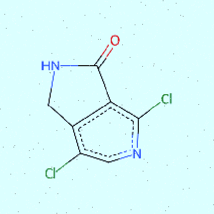 O=C1NCc2c(Cl)cnc(Cl)c21